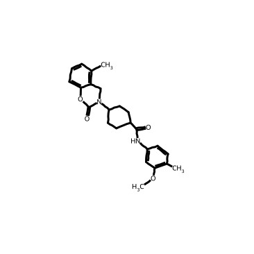 COc1cc(NC(=O)C2CCC(N3Cc4c(C)cccc4OC3=O)CC2)ccc1C